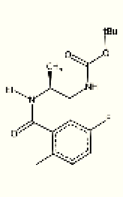 CCN(C(=O)c1cc(F)ccc1I)[C@@H](C)CNC(=O)OC(C)(C)C